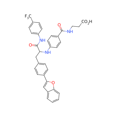 O=C(O)CCNC(=O)c1ccc(NC(Cc2ccc(-c3cc4ccccc4o3)cc2)C(=O)Nc2ccc(C(F)(F)F)cc2)cc1